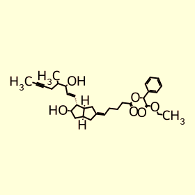 CC#CCC(C)[C@H](O)/C=C/[C@@H]1[C@H]2C/C(=C\CCCC(=O)O[C@H](C(=O)OCC)c3ccccc3)C[C@H]2C[C@H]1O